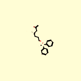 C=C(Br)C[C@H](CCCO[Si](c1ccccc1)(c1ccccc1)C(C)(C)C)OC(C)=O